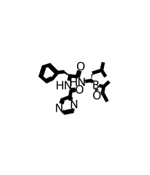 CC(C)C[C@@H](NC(=O)[C@H](Cc1ccccc1)NC(=O)c1cnccn1)B1OC(C)C1C